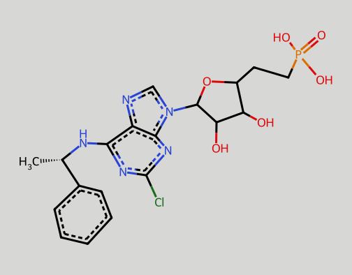 C[C@H](Nc1nc(Cl)nc2c1ncn2C1OC(CCP(=O)(O)O)C(O)C1O)c1ccccc1